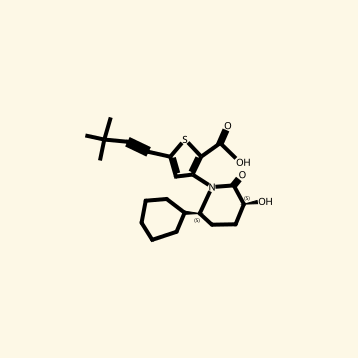 CC(C)(C)C#Cc1cc(N2C(=O)[C@@H](O)CC[C@H]2C2CCCCC2)c(C(=O)O)s1